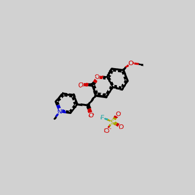 COc1ccc2cc(C(=O)c3ccc[n+](C)c3)c(=O)oc2c1.O=S(=O)([O-])F